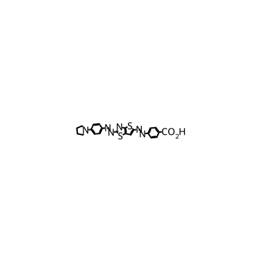 O=C(O)c1ccc(N=Nc2cc3sc(N=Nc4ccc(N5CCCC5)cc4)nc3s2)cc1